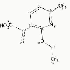 C=C(C(=O)O)c1ccc(C(F)(F)F)nc1OCC(F)(F)F